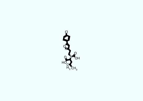 CC(C)CC(C(=O)O)N(CCc1cc(-c2ccc(Cl)cc2)on1)C(=O)O